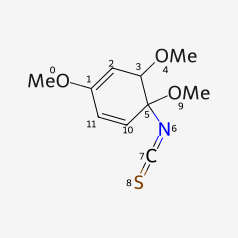 COC1=CC(OC)C(N=C=S)(OC)C=C1